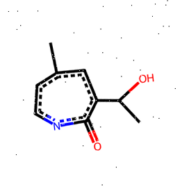 Cc1ccnc(=O)c(C(C)O)c1